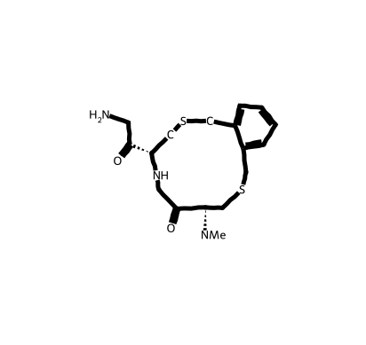 CN[C@H]1CSCc2ccccc2CSC[C@@H](C(=O)CN)NCC1=O